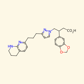 O=C(O)CC(Cn1ccc(CCCc2ccc3c(n2)NCCC3)n1)c1ccc2c(c1)OCO2